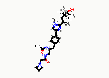 BC(=O)NC(CNC(=O)CN1CCC1)Cc1ccc(-c2cn(C)c(C(C)CC(C)(C)[Si](C)(C)O)n2)cc1